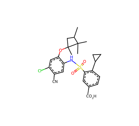 CC1CC(C)(Oc2cc(Cl)c(C#N)cc2NS(=O)(=O)c2cc(C(=O)O)ccc2C2CC2)C1(C)C